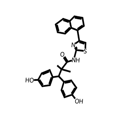 CC(C)(C(=O)Nc1nc(-c2cccc3ccccc23)cs1)C(c1ccc(O)cc1)c1ccc(O)cc1